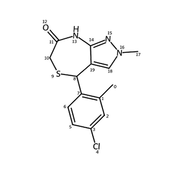 Cc1cc(Cl)ccc1C1SCC(=O)Nc2nn(C)cc21